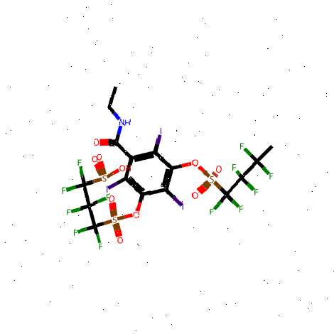 CCNC(=O)c1c(I)c(OS(=O)(=O)C(F)(F)C(F)(F)C(C)(F)F)c(I)c(OS(=O)(=O)C(F)(F)C(F)(F)C(F)(F)S(=O)(=O)O)c1I